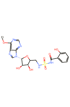 CCOc1ncnc2c1ncn2[C@@H]1OC(CNS(=O)(=O)NC(=O)c2ccccc2O)[C@@H](O)[C@H]1O